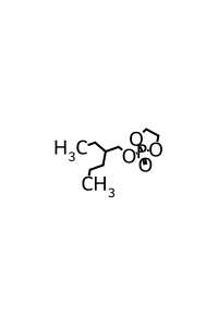 CCCC(CC)COP1(=O)OCCO1